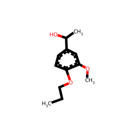 CCCOc1ccc(C(C)O)cc1OC